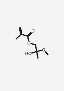 C=C(C)C(=O)OCC(C)(O)OC